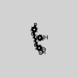 CS(=O)(=O)c1ccc(OCCC(CCOc2ccc(F)cc2)N2CCNCC2)cc1